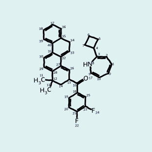 C1=CC=C(C2CCC2)NC=C1.CC1(C)CC(C(=O)c2ccc(F)c(F)c2)C=c2c1ccc1c2=CCc2ccccc2-1